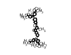 Cc1cc2c3cc4ccc(-n5c6ccc(C(C)(C)C)cc6c6cc(C(C)(C)C)ccc65)cc4cc3oc2c2oc3cc4cc(-n5c6ccc(C(C)(C)C)cc6c6cc(C(C)(C)C)ccc65)ccc4cc3c12